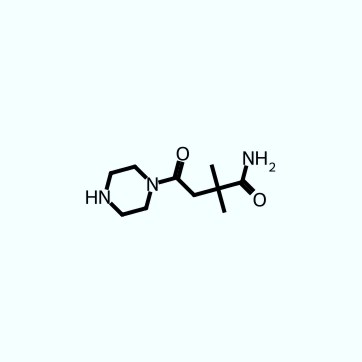 CC(C)(CC(=O)N1CCNCC1)C(N)=O